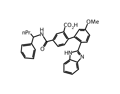 CCCC(NC(=O)c1ccc(-c2cc(OC)ccc2-c2nc3ccccc3[nH]2)c(C(=O)O)c1)c1ccccc1